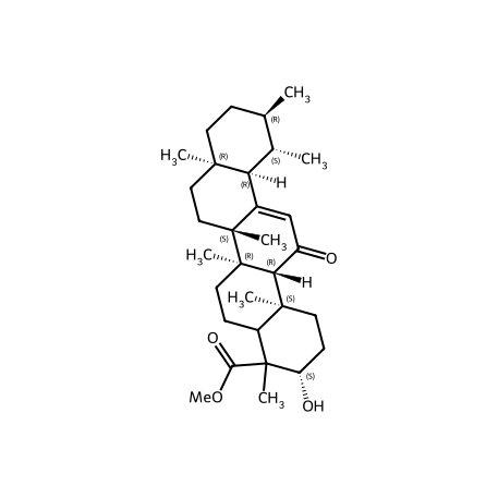 COC(=O)C1(C)C2CC[C@]3(C)[C@H](C(=O)C=C4[C@@H]5[C@@H](C)[C@H](C)CC[C@]5(C)CC[C@]43C)[C@@]2(C)CC[C@@H]1O